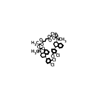 CC(OC(=O)CCC(=O)OC(C)OC(=O)N(C)[C@H]1CC[C@@H](c2ccc(Cl)c(Cl)c2)c2ccccc21)OC(=O)N(C)[C@H]1CC[C@@H](c2ccc(Cl)c(Cl)c2)c2ccccc21